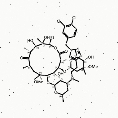 CC[C@H]1OC(=O)[C@H](C)[C@@H](O[C@H]2C[C@@](C)(OC)[C@@H](O)[C@H](C)O2)[C@H](C)[C@@H](O[C@@H]2O[C@H](C)C[C@H](N(C)CCc3cn(Cc4ccc(Cl)c(Cl)c4)nn3)[C@H]2O)[C@](C)(OC)C[C@@H](C)C(=O)[C@H](C)[C@@H](O)[C@]1(C)O